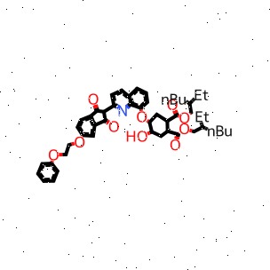 CCCCC(CC)COC(=O)C1CC(O)C(Oc2cccc3ccc(C4C(=O)c5ccc(OCCOc6ccccc6)cc5C4=O)nc23)CC1C(=O)OCC(CC)CCCC